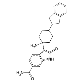 NC(=O)c1ccc2c(c1)[nH]c(=O)n2C1(N)CCC(C2Cc3ccccc3C2)CC1